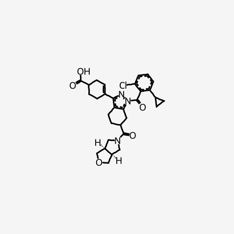 O=C(O)C1CC=C(c2nn(C(=O)c3c(Cl)cccc3C3CC3)c3c2CCC(C(=O)N2C[C@H]4COC[C@H]4C2)C3)CC1